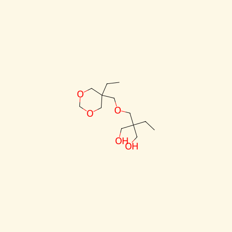 CCC(CO)(CO)COCC1(CC)COCOC1